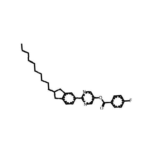 CCCCCCCCCCC1Cc2ccc(-c3ncc(OC(=O)c4ccc(F)cc4)cn3)cc2C1